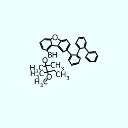 CCC(C)(OC)C(C)(C)OBc1cccc2oc3ccc(-c4ccccc4-c4ccccc4-c4ccccc4)cc3c12